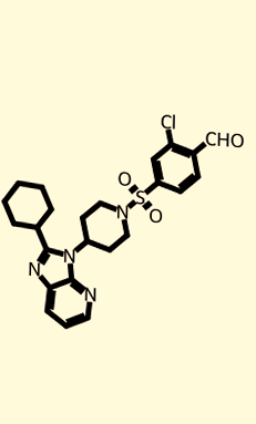 O=Cc1ccc(S(=O)(=O)N2CCC(n3c(C4CCCCC4)nc4cccnc43)CC2)cc1Cl